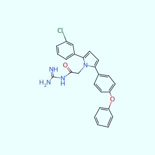 N=C(N)NC(=O)Cn1c(-c2ccc(Oc3ccccc3)cc2)ccc1-c1cccc(Cl)c1